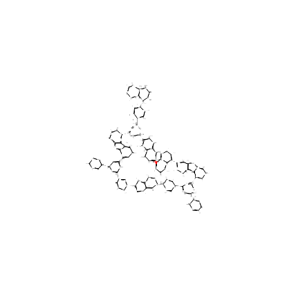 c1ccc(-c2cc(-c3cccc(-c4ccc5cc(-c6ccc(-c7nc(-c8ccccc8)nc(-c8cccc9oc%10cc(-c%11cccc%12ccccc%11%12)ccc%10c89)n7)cc6)ccc5c4)c3)cc(-c3cccc4c3oc3cccc(C5=NC(c6ccc(-c7cccc8ccccc78)cc6)NC(c6ccc7ccccc7c6)=N5)c34)c2)cc1